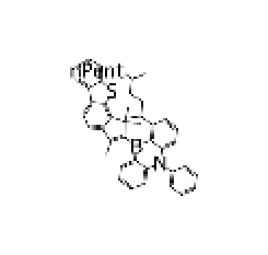 CCCCCC(C)CCC(C)c1cccc2c1B(C1=C(C)c3ccc4c(sc5ccccc54)c3C1(C)C)c1ccccc1N2c1ccccc1